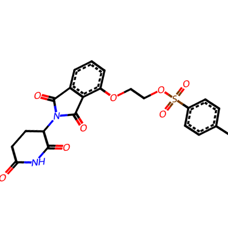 Cc1ccc(S(=O)(=O)OCCOc2cccc3c2C(=O)N(C2CCC(=O)NC2=O)C3=O)cc1